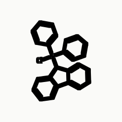 Cl[Si](c1ccccc1)(c1ccccc1)C1c2ccccc2-c2ccccc21